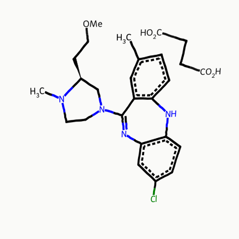 COCC[C@H]1CN(C2=Nc3cc(Cl)ccc3Nc3ccc(C)cc32)CCN1C.O=C(O)CCC(=O)O